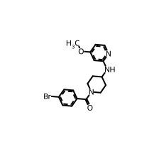 COc1ccnc(NC2CCN(C(=O)c3ccc(Br)cc3)CC2)c1